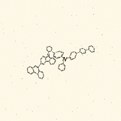 c1ccc(-c2ccc(-c3ccc(N(c4ccccc4)c4ccc(-c5ccccc5-n5c6ccccc6c6cc(-c7cc8ccccc8c8ccccc78)ccc65)cc4)cc3)cc2)cc1